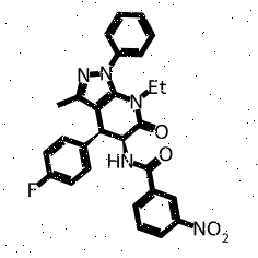 CCN1C(=O)[C@@H](NC(=O)c2cccc([N+](=O)[O-])c2)[C@@H](c2ccc(F)cc2)c2c(C)nn(-c3ccccc3)c21